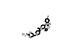 C=C(N1CCC(n2c(OC3CCC3)nc3cc(F)ccc32)CC1)C1(F)CCN(Cc2cnc(N)nc2)CC1